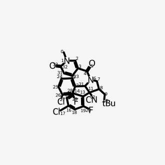 Cn1cc(C(=O)N2CC(CC(C)(C)C)C(C#N)(c3ccc(Cl)cc3F)C2c2cccc(Cl)c2F)ccc1=O